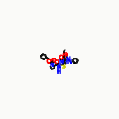 CCOC(=O)/C(=N/Nc1ccccc1)c1csc(NC(=O)C2CCCN2C(=O)OCc2ccccc2)n1